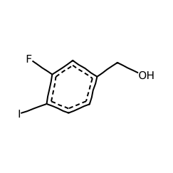 OCc1ccc(I)c(F)c1